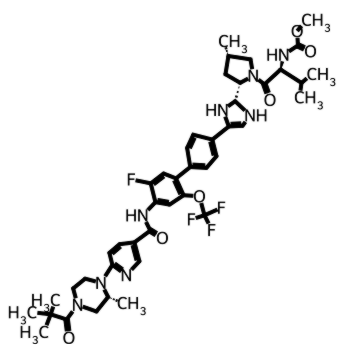 COC(=O)N[C@H](C(=O)N1C[C@@H](C)C[C@H]1C1NC=C(c2ccc(-c3cc(F)c(NC(=O)c4ccc(N5CCN(C(=O)C(C)(C)C)C[C@H]5C)nc4)cc3OC(F)(F)F)cc2)N1)C(C)C